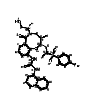 C[C@@H]1CN([C@@H](C)CO)C(=O)c2cccc(NC(=O)Nc3cccc4ccccc34)c2O[C@H]1CN(C)S(=O)(=O)c1ccc(F)cc1